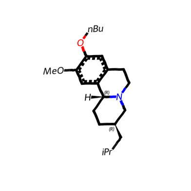 CCCCOc1cc2c(cc1OC)[C@H]1CC[C@H](CC(C)C)CN1CC2